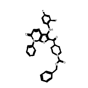 O=C(c1sc2c(ccc(=O)n2-c2ccccc2)c1Nc1ccc(F)cc1F)C1CCN(C(=O)OCc2ccccc2)CC1